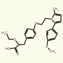 CCOC(Cc1ccc(OCCn2c(C)ccc2-c2ccc(OC)cc2)cc1)C(=O)O